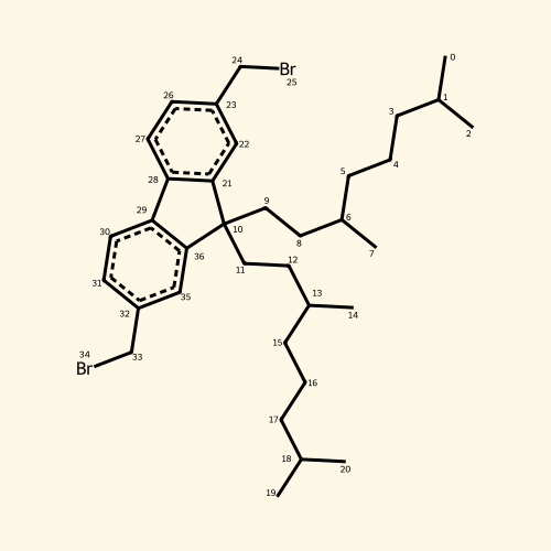 CC(C)CCCC(C)CCC1(CCC(C)CCCC(C)C)c2cc(CBr)ccc2-c2ccc(CBr)cc21